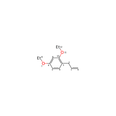 C=CCc1ccc(OCC)cc1OCC